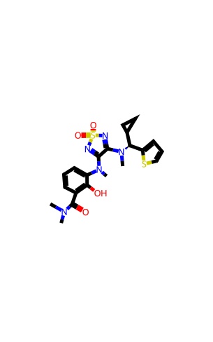 CN(C)C(=O)c1cccc(N(C)C2=NS(=O)(=O)N=C2N(C)[C@@H](c2cccs2)C2CC2)c1O